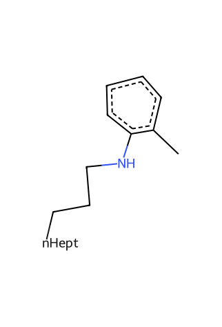 CCCCCCCCCCNc1ccccc1C